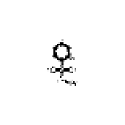 CC(C)[N]S(=O)(=O)c1ccccc1